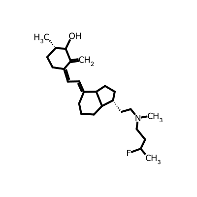 C=C1/C(=C\C=C2/CCCC3C2CC[C@@H]3CCN(C)CCC(C)F)CC[C@H](C)C1O